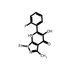 CCn1nc(C)c2c(=O)c(O)c(-c3ccccc3F)[nH]c21